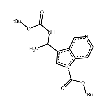 CC(NC(=O)OC(C)(C)C)c1cn(C(=O)OC(C)(C)C)c2ccncc12